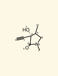 C#C[C@]1(O)C(=O)N(C)CC1C